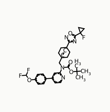 CC(C)(C)OC(=O)N(CC12CCC(c3noc(C4(F)CC4)n3)(CC1)CC2)c1cc(-c2ccc(OC(F)F)cc2)ccn1